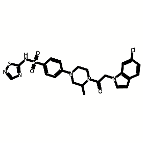 CC1CN(c2ccc(S(=O)(=O)Nc3ncns3)cc2)CCN1C(=O)Cn1ccc2ccc(Cl)cc21